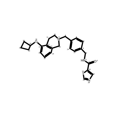 O=C(NCc1ccc(CN2CCc3c(cccc3OC3CCC3)C2)cc1)c1cncs1